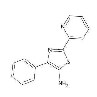 Nc1sc(-c2ccccn2)nc1-c1ccccc1